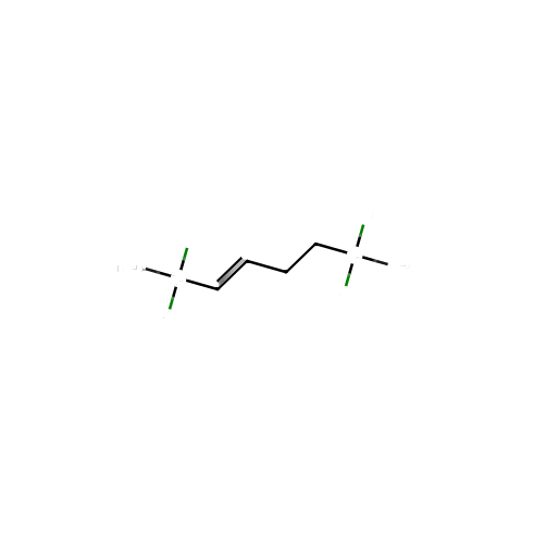 CCCC[Si](Cl)(Cl)C=CCC[Si](Cl)(Cl)CCCC